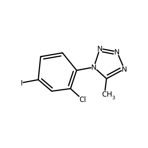 Cc1nnnn1-c1ccc(I)cc1Cl